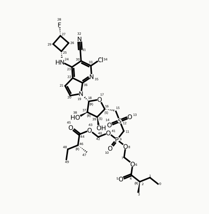 CC[C@@H](C)C(=O)OCOP(=O)(CS(=O)(=O)C[C@H]1O[C@@H](n2ccc3c(N[C@H]4C[C@@H](F)C4)c(C#N)c(Cl)nc32)[C@H](O)[C@@H]1O)OCOC(=O)[C@H](C)CC